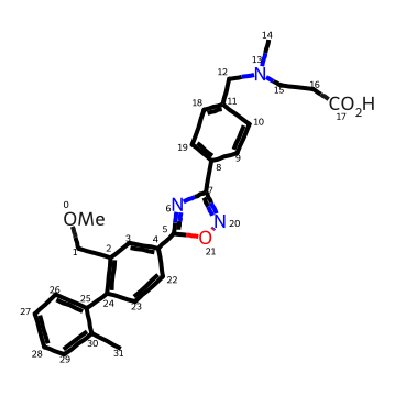 COCc1cc(-c2nc(-c3ccc(CN(C)CCC(=O)O)cc3)no2)ccc1-c1ccccc1C